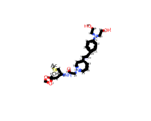 CC(=O)SCC(CC1(C)OCO1)NC(=O)C[N+]1=CC=C(/C=C/c2ccc(N(CCO)CCO)cc2)C=CC1